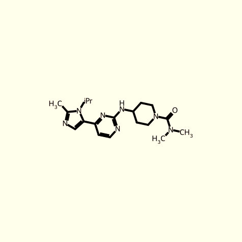 Cc1ncc(-c2ccnc(NC3CCN(C(=O)N(C)C)CC3)n2)n1C(C)C